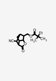 CCC(C)(C)C(=O)OCC1C2CC3C1OC(=O)C3C2C#N